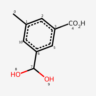 Cc1cc(C(=O)O)cc(C(O)O)c1